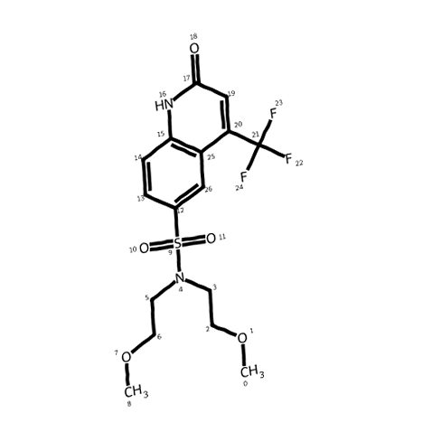 COCCN(CCOC)S(=O)(=O)c1ccc2[nH]c(=O)cc(C(F)(F)F)c2c1